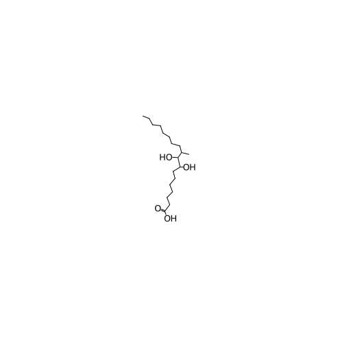 CCCCCCCCC(C)C(O)C(O)CCCCCCC(=O)O